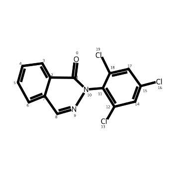 O=c1c2ccccc2cnn1-c1c(Cl)cc(Cl)cc1Cl